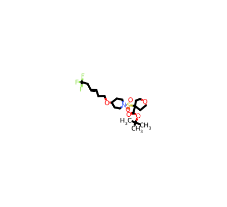 CC(C)(C)OC(=O)C1(S(=O)(=O)N2CCC(OCCC=CCC(F)(F)F)CC2)CCOCC1